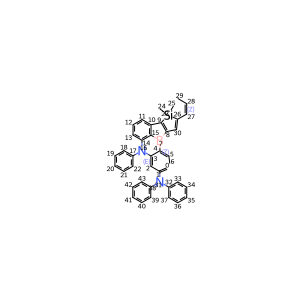 C=C(/C=C1\C(=C/C)B2C3=C(c4cccc(c42)N1c1ccccc1)[Si](C)(C)C(/C=C\C)=C3)N(c1ccccc1)c1ccccc1